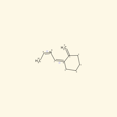 C=C1CCCC/C1=C/N=C\C